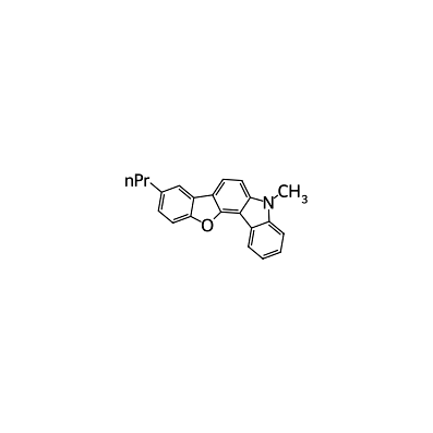 CCCc1ccc2oc3c(ccc4c3c3ccccc3n4C)c2c1